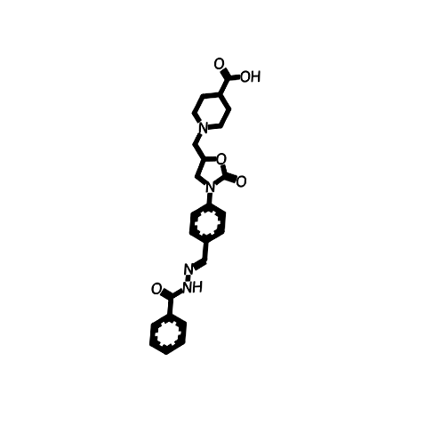 O=C(NN=Cc1ccc(N2CC(CN3CCC(C(=O)O)CC3)OC2=O)cc1)c1ccccc1